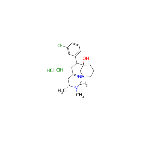 C[C@H](CC(=N)CC(c1cccc(Cl)c1)C1(O)CCCCC1)N(C)C.Cl.Cl